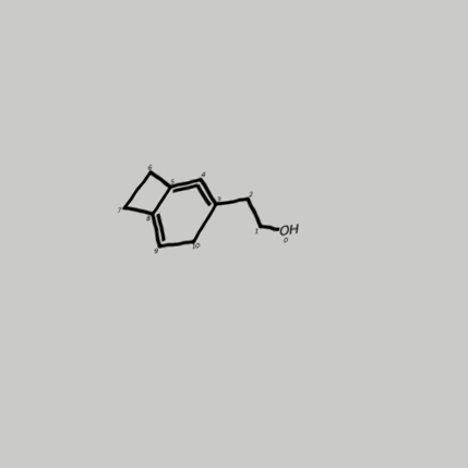 OCCC1=C=C2CCC2=CC1